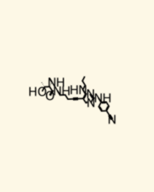 CCCNc1nc(Nc2ccc(C#N)cc2)ncc1C#CCCCNC(=O)[C@@H](NC)[C@@H](C)O